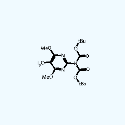 COc1nc(N(C(=O)OC(C)(C)C)C(=O)OC(C)(C)C)nc(OC)c1C